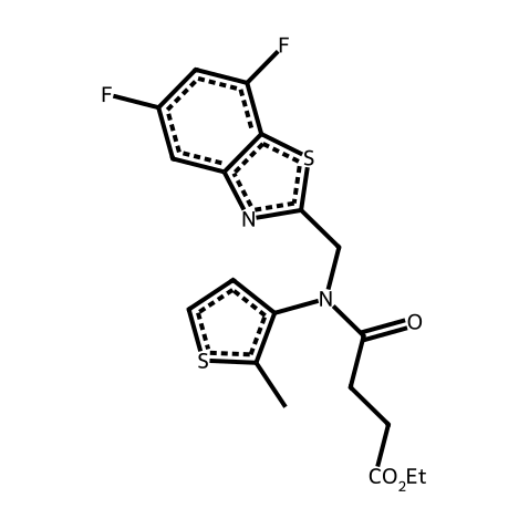 CCOC(=O)CCC(=O)N(Cc1nc2cc(F)cc(F)c2s1)c1ccsc1C